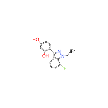 CC(C)Cn1nc(-c2ccc(O)cc2O)c2cccc(F)c21